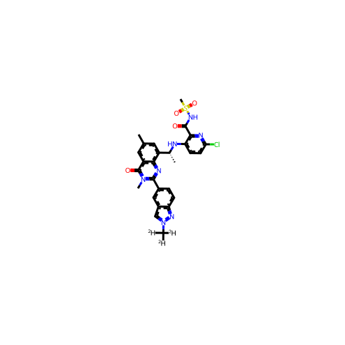 [2H]C([2H])([2H])n1cc2cc(-c3nc4c([C@@H](C)Nc5ccc(Cl)nc5C(=O)NS(C)(=O)=O)cc(C)cc4c(=O)n3C)ccc2n1